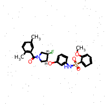 COc1ccccc1S(=O)(=O)Nc1cccc(O[C@@H]2CN(C(=O)c3cc(C)ccc3C)C[C@H]2F)c1